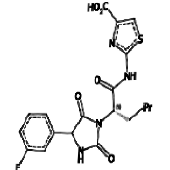 CC(C)C[C@@H](C(=O)Nc1nc(C(=O)O)cs1)N1C(=O)NC(c2cccc(F)c2)C1=O